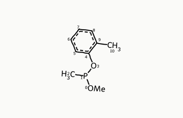 COP(C)Oc1ccccc1C